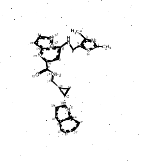 Cc1nc(C)c(CNc2cc(C(=O)NC[C@H]3C[C@@H]3c3ccc4ccccc4n3)nc3ccnn23)s1